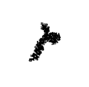 CC[C@H]1CC[C@H](c2ccc(-c3cnc(-c4ccc(C[C@@](I)(NC(=O)c5ccc(C(C)(C)C)s5)C(=O)N5CCC[C@H]5C(=O)O)cc4)nc3)cc2)CC1